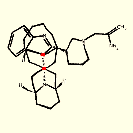 C=C(N)CN1CCC[C@H](c2nc3ccccc3n2[C@H]2C[C@H]3CCC[C@@H](C2)N3[C@@H]2C[C@@H]3CCCC[C@@H](C3)C2)C1